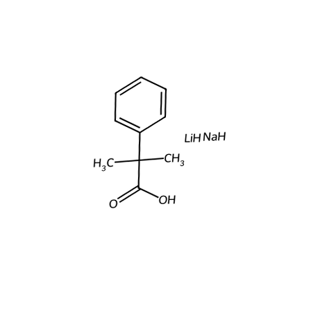 CC(C)(C(=O)O)c1ccccc1.[LiH].[NaH]